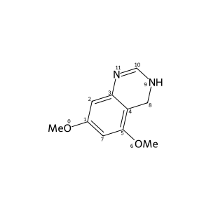 COc1cc2c(c(OC)c1)CNC=N2